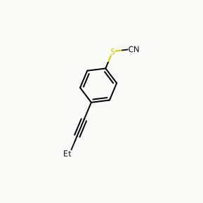 CCC#Cc1ccc(SC#N)cc1